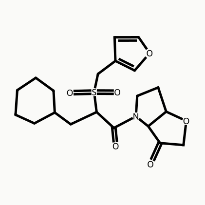 O=C1COC2CCN(C(=O)C(CC3CCCCC3)S(=O)(=O)Cc3ccoc3)C12